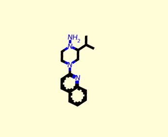 CC(C)C1CN(c2ccc3ccccc3n2)CCN1N